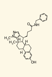 Cn1ncc2c1[C@@]1(C)CC[C@@H]3c4ccc(O)cc4CC[C@H]3[C@@H]1[C@@H]2CCCC(=O)NCc1ccccc1